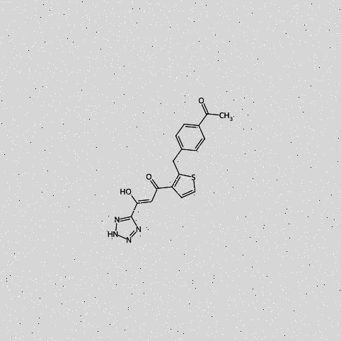 CC(=O)c1ccc(Cc2sccc2C(=O)C=C(O)c2nn[nH]n2)cc1